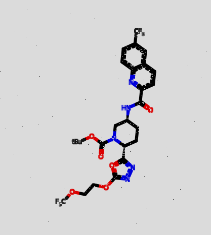 CC(C)(C)OC(=O)N1C[C@@H](NC(=O)c2ccc3cc(C(F)(F)F)ccc3n2)CC[C@@H]1c1nnc(OCCOC(F)(F)F)o1